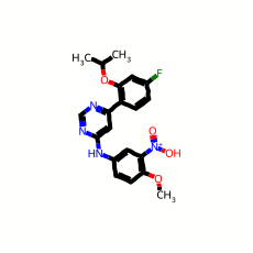 COc1ccc(Nc2cc(-c3ccc(F)cc3OC(C)C)ncn2)cc1[N+](=O)O